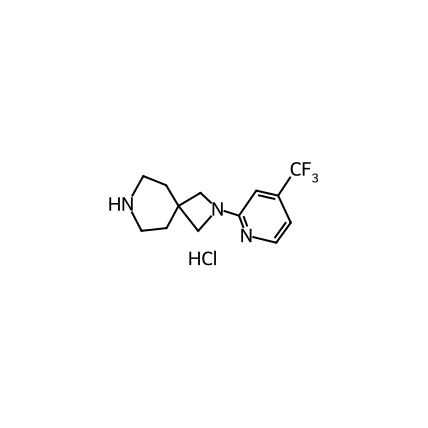 Cl.FC(F)(F)c1ccnc(N2CC3(CCNCC3)C2)c1